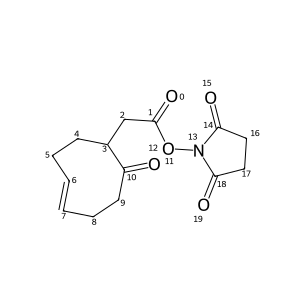 O=C(CC1CC/C=C/CCC1=O)ON1C(=O)CCC1=O